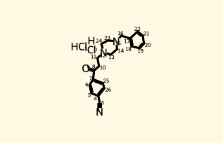 Cl.Cl.N#Cc1ccc(C(=O)CCN2CCN(Cc3ccccc3)CC2)cc1